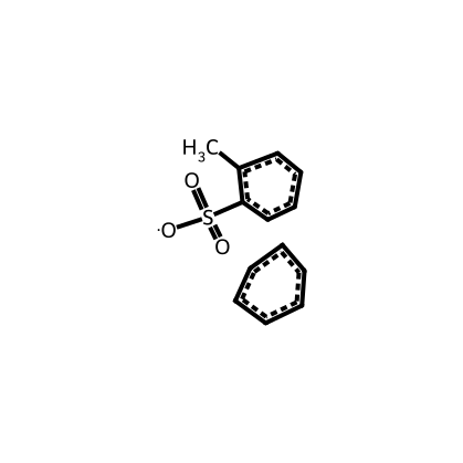 Cc1ccccc1S([O])(=O)=O.c1ccccc1